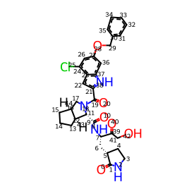 O=C1NCC[C@H]1C[C@H](NC(=O)[C@@H]1[C@H]2CCC[C@H]2CN1C(=O)c1cc2c(Cl)cc(OCc3ccccc3)cc2[nH]1)C(=O)CO